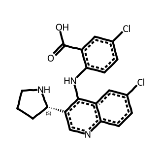 O=C(O)c1cc(Cl)ccc1Nc1c([C@@H]2CCCN2)cnc2ccc(Cl)cc12